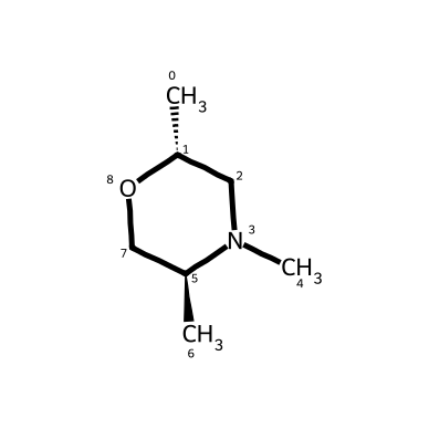 C[C@@H]1CN(C)[C@@H](C)CO1